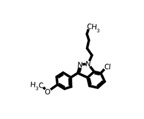 CCCCCn1nc(-c2ccc(OC)cc2)c2cccc(Cl)c21